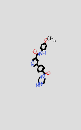 O=C(Nc1ccc(OC(F)(F)F)cc1)c1cncc(-c2ccc(C(=O)N3CCNCC3)cc2)c1